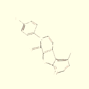 O=c1c2sc3nccc(Cl)c3c2ccn1-c1ccc(F)cc1